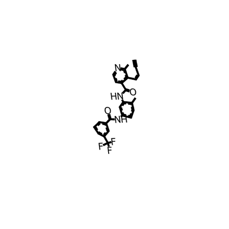 C#C/C=C\c1c(C(=O)Nc2cc(NC(=O)c3cccc(C(F)(F)F)c3)ccc2C)ccnc1C